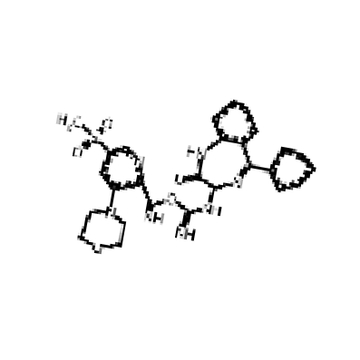 CS(=O)(=O)c1cnc(C(=N)OC(=N)NC2N=C(c3ccccc3)c3ccccc3NC2=O)c(N2CCOCC2)c1